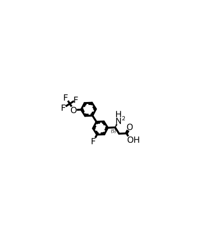 N[C@@H](CC(=O)O)c1cc(F)cc(-c2cccc(OC(F)(F)F)c2)c1